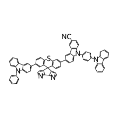 N#Cc1ccc2c(c1)c1cc(-c3ccc4c(c3)Sc3ccc(-c5ccc6c(c5)c5ccccc5n6-c5ccccc5)cc3C43c4cccnc4-c4ncccc43)ccc1n2-c1ccc(-n2c3ccccc3c3ccccc32)cc1